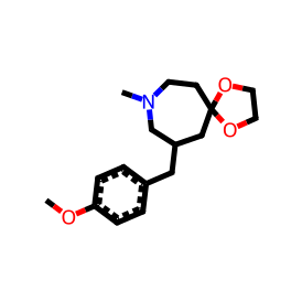 COc1ccc(CC2CN(C)CCC3(C2)OCCO3)cc1